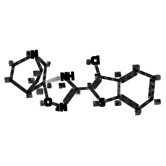 Clc1c(C2=NO[C@@]3(CN4CCC3CC4)N2)sc2ccccc12